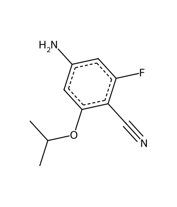 CC(C)Oc1cc(N)cc(F)c1C#N